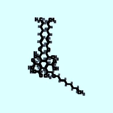 C=CCCCC=CCOCC(C)c1c(C(=O)O)c(C(=O)O)c(C(C)COCC=CCCCC=C)c(C(C)COCC=CCCCC=C)c1C(=O)O